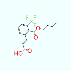 CCCCOC(=O)c1c(C=CC(=O)O)cccc1C(F)(F)F